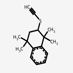 C#CSC1CC(C)(C)c2ccccc2C1(C)C